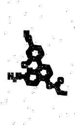 CCC(=O)Oc1ccc(-c2ccc(C#N)cc2Cl)c2nc(N)ccc12